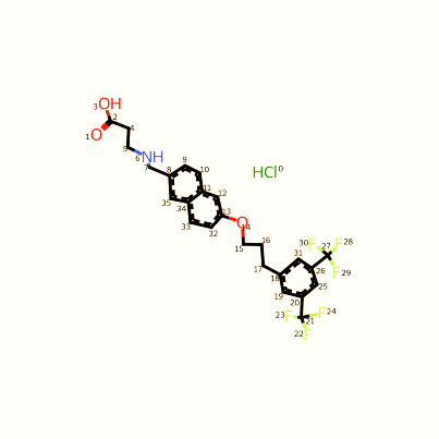 Cl.O=C(O)CCNCc1ccc2cc(OCCCc3cc(C(F)(F)F)cc(C(F)(F)F)c3)ccc2c1